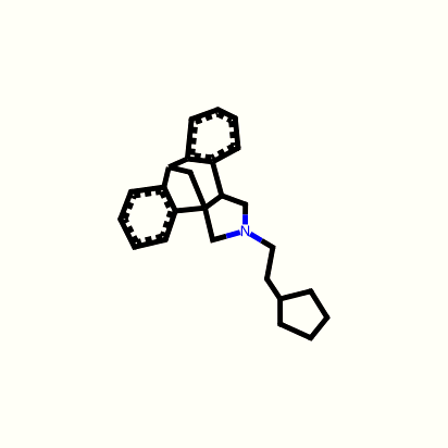 c1ccc2c(c1)C1CC3(CN(CCC4CCCC4)CC23)c2ccccc21